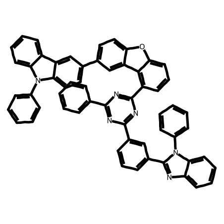 c1ccc(-c2nc(-c3cccc(-c4nc5ccccc5n4-c4ccccc4)c3)nc(-c3cccc4oc5ccc(-c6ccc7c(c6)c6ccccc6n7-c6ccccc6)cc5c34)n2)cc1